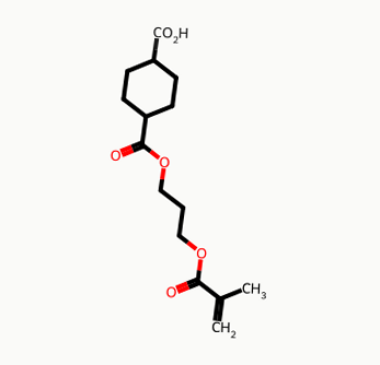 C=C(C)C(=O)OCCCOC(=O)C1CCC(C(=O)O)CC1